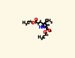 CCOC(=O)C=Cc1[nH]c(C(=O)OCC)cc1C